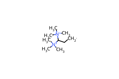 [CH2]CC([N+](C)(C)C)[N+](C)(C)C